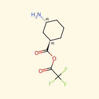 N[C@@H]1CCC[C@@H](C(=O)OC(=O)C(F)(F)F)C1